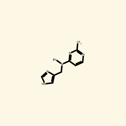 CC(C)N(Cc1c[nH]cn1)c1ccnc(C(F)(F)F)n1